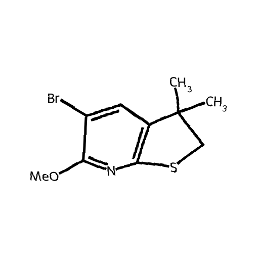 COc1nc2c(cc1Br)C(C)(C)CS2